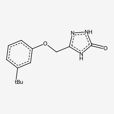 CC(C)(C)c1cccc(OCc2n[nH]c(=O)[nH]2)c1